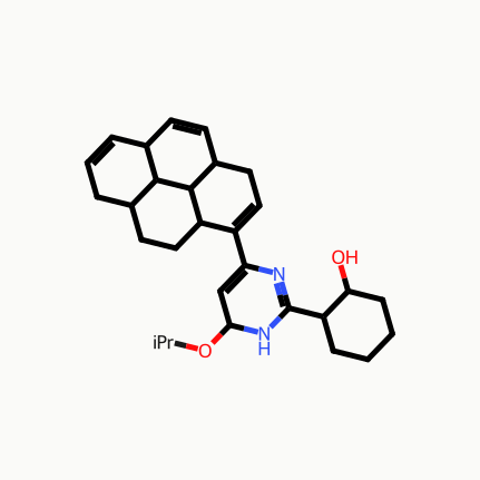 CC(C)OC1C=C(C2=CCC3C=CC4C=CCC5CCC2C3C45)N=C(C2CCCCC2O)N1